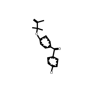 C=C(C)C(C)(C)Oc1ccc(C(=O)c2ccc(Cl)cc2)cc1